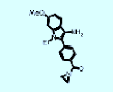 CCn1c(-c2ccc(C(=O)N3CC3)cc2)c(N)c2ccc(OC)cc21